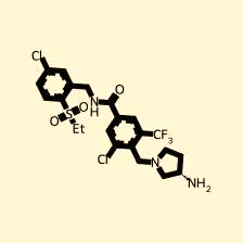 CCS(=O)(=O)c1ccc(Cl)cc1CNC(=O)c1cc(Cl)c(CN2CC[C@H](N)C2)c(C(F)(F)F)c1